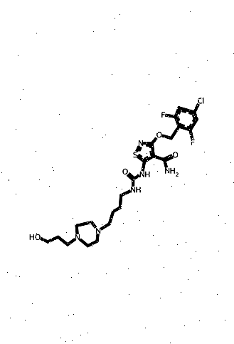 NC(=O)c1c(OCc2c(F)cc(Cl)cc2F)nsc1NC(=O)NCCCCN1CCN(CCCO)CC1